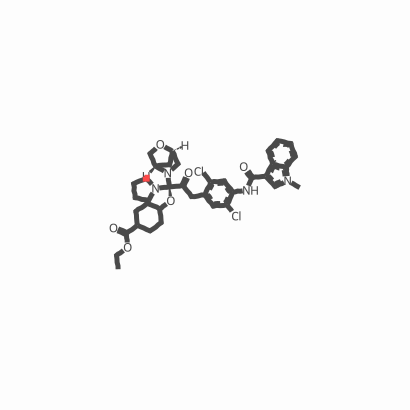 CCOC(=O)C1CCC(O[C@@](C(=O)Cc2cc(Cl)c(NC(=O)c3cn(C)c4ccccc34)cc2Cl)(N2CCCC2)N2C[C@H]3C[C@H]2CO3)CC1